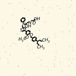 CCCC(CCC)c1ccc(COc2ccc(-c3csc(CN(C(=O)CNCC(=O)O)c4ccccc4)n3)cc2OC)cc1